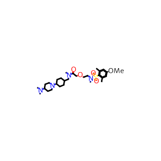 COc1cc(C)c(S(=O)(=O)N(C)CCOCC(=O)N(C)CC2CCC(N3CCC(N(C)C)CC3)CC2)c(C)c1